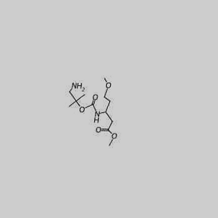 COCCC(CC(=O)OC)NC(=O)OC(C)(C)CN